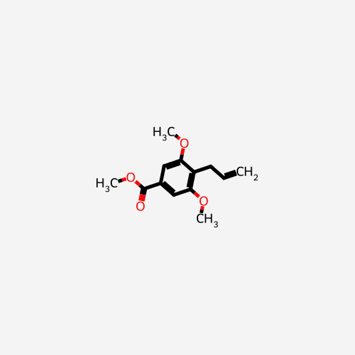 C=CCc1c(OC)cc(C(=O)OC)cc1OC